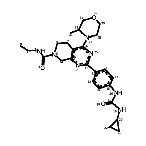 CCNC(=O)N1CCc2c(nc(-c3ccc(NC(=O)NC4CC4)cc3)nc2N2CCOCC2C)C1